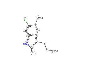 COc1cc2c(CCNC(C)=O)c(C)[nH]c2cc1F